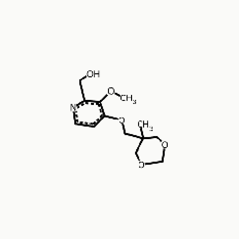 COc1c(OCC2(C)COCOC2)ccnc1CO